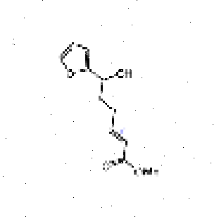 COC(=O)/C=C/CCC(O)c1ccco1